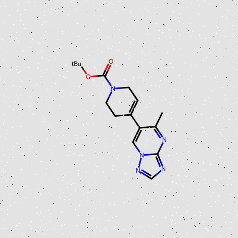 Cc1nc2ncnn2cc1C1=CCN(C(=O)OC(C)(C)C)CC1